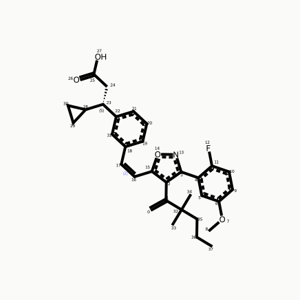 C=C(c1c(-c2cc(OC)ccc2F)noc1/C=C\c1cccc([C@@H](CC(=O)O)C2CC2)c1)C(C)(C)CCC